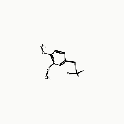 COc1ccc(CC(F)(F)F)cc1OC